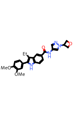 CCc1c(-c2ccc(OC)c(OC)c2)[nH]c2ccc(C(=O)Nc3cnn(C4COC4)c3)cc12